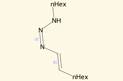 CCCCCC/C=C/N=N\NCCCCCC